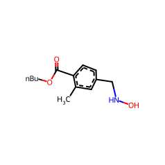 CCCCOC(=O)c1ccc(CNO)cc1C